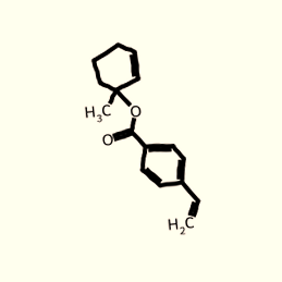 C=Cc1ccc(C(=O)OC2(C)C=CCCC2)cc1